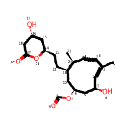 CC1=C\[C@@H](O)C[C@H](OC=O)C[C@@H](CC[C@@H]2C[C@@H](O)CC(=O)O2)[C@@H](C)/C=C\1